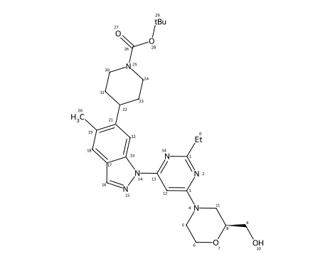 CCc1nc(N2CCO[C@H](CO)C2)cc(-n2ncc3cc(C)c(C4CCN(C(=O)OC(C)(C)C)CC4)cc32)n1